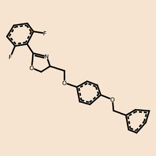 Fc1cccc(F)c1C1=NC(COc2ccc(OCc3ccccc3)cc2)CO1